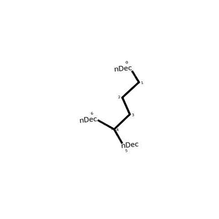 CCCCCCCCCCCCC[C](CCCCCCCCCC)CCCCCCCCCC